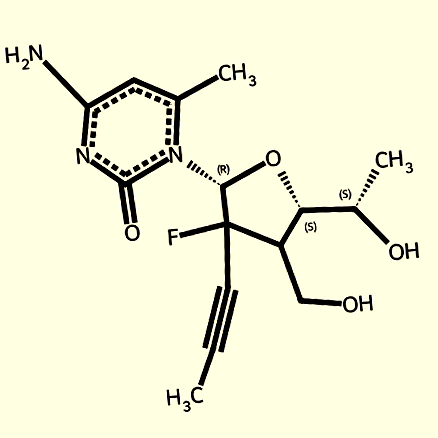 CC#CC1(F)C(CO)[C@@H]([C@H](C)O)O[C@H]1n1c(C)cc(N)nc1=O